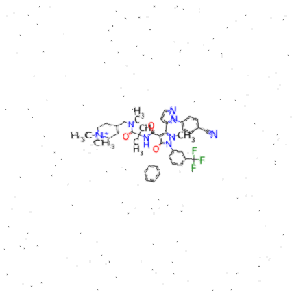 CN(CC1CC[N+](C)(C)CC1)C(=O)C(C)(C)NC(=O)c1c(-c2ccnn2-c2ccc(C#N)cc2)n(C)n(-c2cccc(C(F)(F)F)c2)c1=O.c1ccccc1